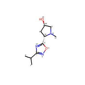 CC(C)c1noc([C@@H]2C[C@@H](O)CN2C)n1